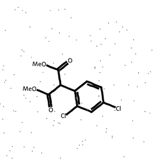 COC(=O)C(C(=O)OC)c1ccc(Cl)cc1Cl